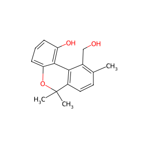 Cc1ccc2c(c1CO)-c1c(O)cccc1OC2(C)C